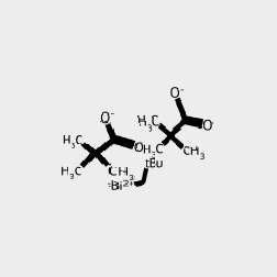 CC(C)(C)C(=O)[O-].CC(C)(C)C(=O)[O-].CC(C)(C)[CH2][Bi+2]